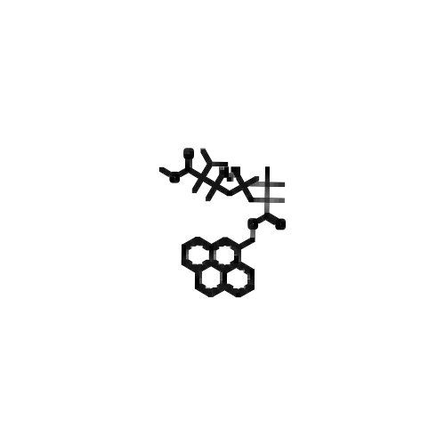 COC(=O)C(C)(C(C)C)C(C)(C)CC(C)(N)CC(C)(C(=O)OCc1cc2cccc3ccc4cccc1c4c32)C(C)(C)C